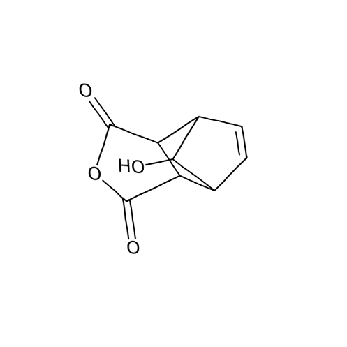 O=C1OC(=O)C2C3C=CC(C3O)C12